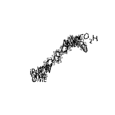 COC(=O)N[C@H](C(=O)N1CCC[C@H]1c1nc2cc(-c3ccc4cc(-c5ccc6[nH]c([C@@H]7CCCN7C(=O)[C@H](C7CCOCC7)N(C)C(=O)O)nc6c5)ccc4c3)ccc2[nH]1)C(C)C